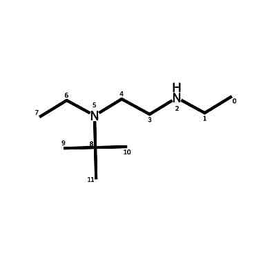 CCNCCN(CC)C(C)(C)C